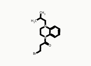 CC(C)CN1CCN(C(=O)CCBr)c2ccccc21